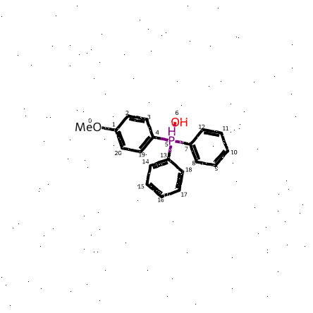 COc1ccc([PH](O)(c2ccccc2)c2ccccc2)cc1